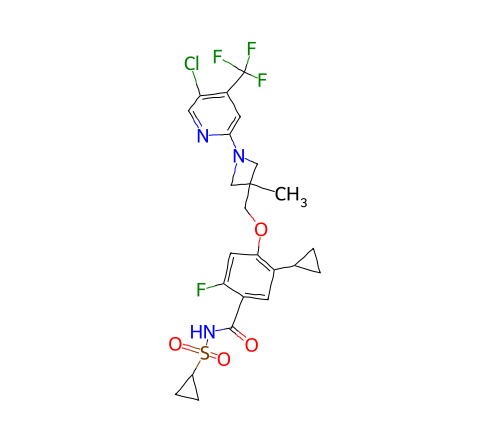 CC1(COc2cc(F)c(C(=O)NS(=O)(=O)C3CC3)cc2C2CC2)CN(c2cc(C(F)(F)F)c(Cl)cn2)C1